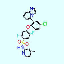 Cc1ccnc(NS(=O)(=O)c2cc(F)c(Oc3ccc(Cl)cc3-c3cccc4nccn34)cc2F)c1